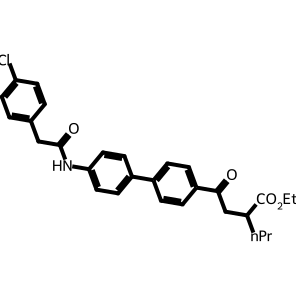 CCCC(CC(=O)c1ccc(-c2ccc(NC(=O)Cc3ccc(Cl)cc3)cc2)cc1)C(=O)OCC